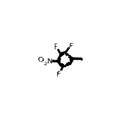 Cc1cc(F)c([N+](=O)[O-])c(F)c1F